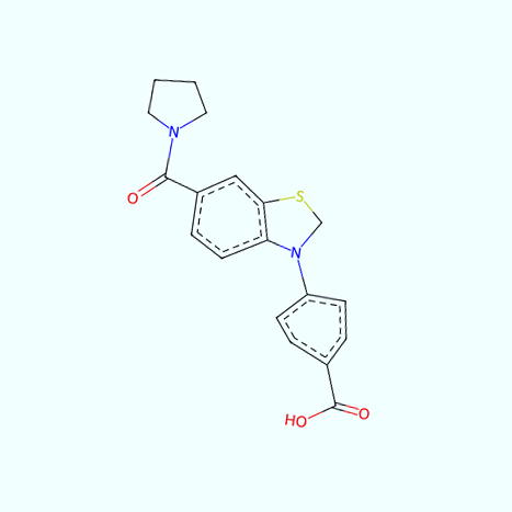 O=C(O)c1ccc(N2CSc3cc(C(=O)N4CCCC4)ccc32)cc1